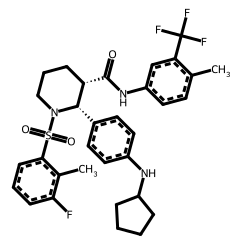 Cc1ccc(NC(=O)[C@H]2CCCN(S(=O)(=O)c3cccc(F)c3C)[C@H]2c2ccc(NC3CCCC3)cc2)cc1C(F)(F)F